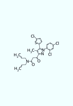 C=CCN(CC=C)C(=O)CC(=O)c1nn(-c2ccc(Cl)cc2Cl)c(-c2ccc(Cl)s2)c1C